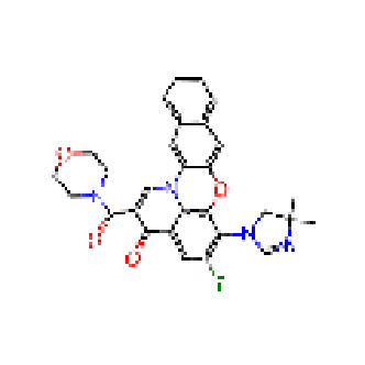 CC1(C)CN(c2c(F)cc3c(=O)c(C(=O)N4CCOCC4)cn4c3c2Oc2cc3ccccc3cc2-4)C=N1